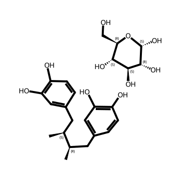 C[C@H](Cc1ccc(O)c(O)c1)[C@@H](C)Cc1ccc(O)c(O)c1.OC[C@H]1O[C@H](O)[C@H](O)[C@@H](O)[C@@H]1O